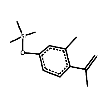 [CH]=C(C)c1ccc(O[Si](C)(C)C)cc1C